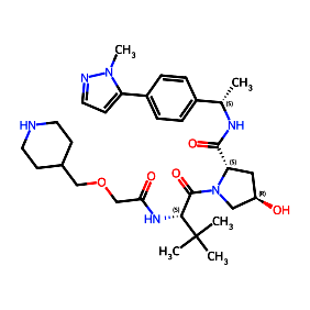 C[C@H](NC(=O)[C@@H]1C[C@@H](O)CN1C(=O)[C@@H](NC(=O)COCC1CCNCC1)C(C)(C)C)c1ccc(-c2ccnn2C)cc1